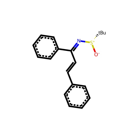 CC(C)(C)[S@+]([O-])/N=C(\C=C\c1ccccc1)c1ccccc1